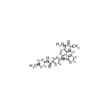 C[C@@H]1C(=O)N(C)c2ccc(Nc3ccc(C(=O)NC4CCN(C)CC4)cc3)cc2N1Cc1ccccc1